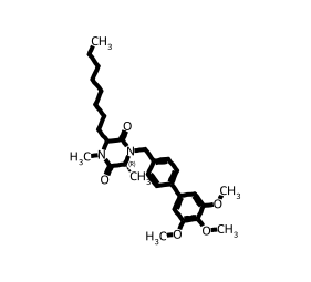 CCCCCCCCC1C(=O)N(Cc2ccc(-c3cc(OC)c(OC)c(OC)c3)cc2)[C@H](C)C(=O)N1C